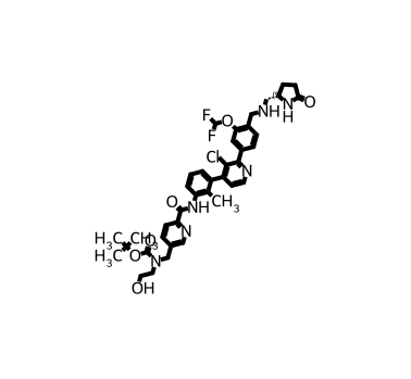 Cc1c(NC(=O)c2ccc(CN(CCO)C(=O)OC(C)(C)C)cn2)cccc1-c1ccnc(-c2ccc(CNC[C@@H]3CCC(=O)N3)c(OC(F)F)c2)c1Cl